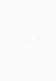 CCCN(CCCN(CC=CCN(CCCN(CCC)C(=O)OC(C)(C)C)C(=O)OC(C)(C)C)C(=O)OC(C)(C)C)C(=O)OC(C)(C)C